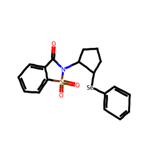 O=C1c2ccccc2S(=O)(=O)N1C1CCCC1[Se]c1ccccc1